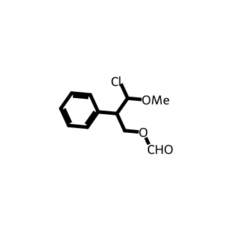 COC(Cl)C(COC=O)c1ccccc1